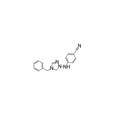 N#Cc1ccc(NN2CN(Cc3ccccc3)C=N2)cc1